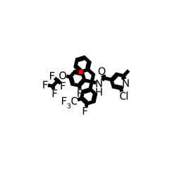 Cc1cc(C(=O)NC(Cc2ccccc2)(c2ccc(F)c(C(F)(F)F)c2)c2ccc(OC(F)(F)C(F)F)cc2F)cc(Cl)n1